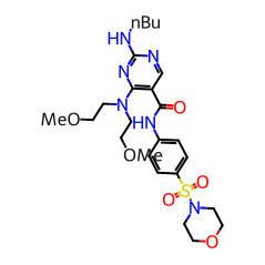 CCCCNc1ncc(C(=O)Nc2ccc(S(=O)(=O)N3CCOCC3)cc2)c(N(CCOC)CCOC)n1